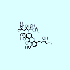 CC(O)CCc1ccc(O)c2c1CC1CC3C(N(C)C)C(O)=C(C(N)=O)C(=O)C3(O)C(O)=C1C2=O